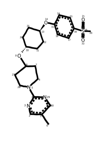 Cc1cnc(N2CCC(O[C@H]3CC[C@H](Oc4ccc(S(C)(=O)=O)cc4)CC3)CC2)nc1